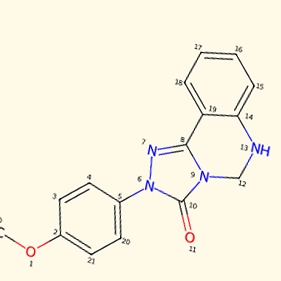 COc1ccc(-n2nc3n(c2=O)CNc2ccccc2-3)cc1